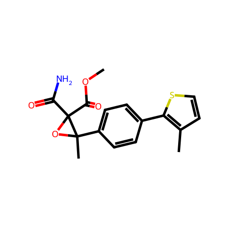 COC(=O)C1(C(N)=O)OC1(C)c1ccc(-c2sccc2C)cc1